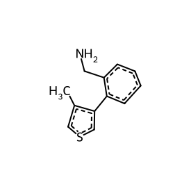 Cc1cscc1-c1ccccc1CN